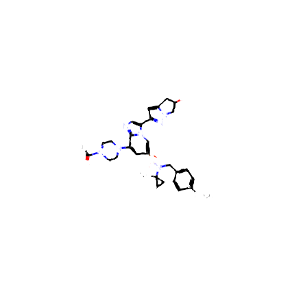 COc1ccc(CN(C2(C#N)CC2)S(=O)(=O)c2cc(N3CCN(C(=O)C(C)C)CC3)c3ncc(-c4cc5n(n4)CC(O)C5)n3c2)cc1